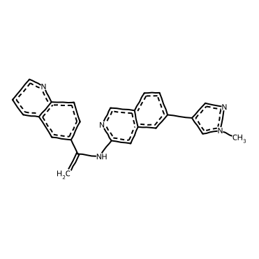 C=C(Nc1cc2cc(-c3cnn(C)c3)ccc2cn1)c1ccc2ncccc2c1